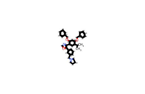 CC(C)c1cc(-c2ncoc2-c2cccc(CN3CCCC3)c2)c(OCc2ccccc2)cc1OCc1ccccc1